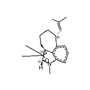 CC(C)=C[C@H]1CCC[C@@]23CC(C)(C)O[C@@H]2N(C)c2cccc1c23